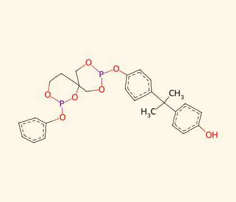 CC(C)(c1ccc(O)cc1)c1ccc(OP2OCC3(CCOP(Oc4ccccc4)O3)CO2)cc1